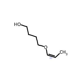 C/C=C\OCCCCO